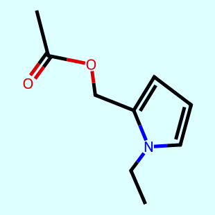 CCn1cccc1COC(C)=O